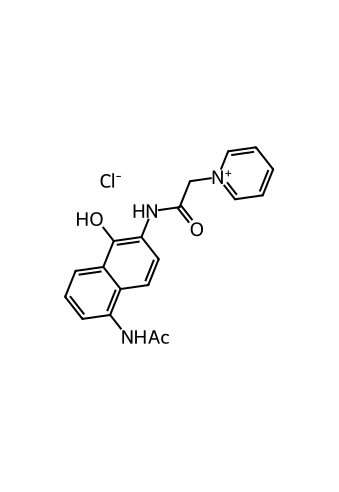 CC(=O)Nc1cccc2c(O)c(NC(=O)C[n+]3ccccc3)ccc12.[Cl-]